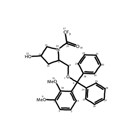 COc1cccc(C(OCC2CC(O)CN2C(=O)C(F)(F)F)(c2ccccc2)c2ccccc2)c1OC